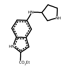 CCOC(=O)c1cc2cc(NC3CCNC3)ccc2[nH]1